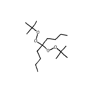 CCCCC(CCCC)(OOC(C)(C)C)OOC(C)(C)C